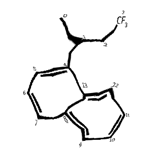 CC(CC(F)(F)F)c1cccc2ccccc12